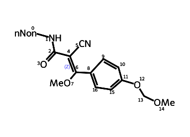 CCCCCCCCCNC(=O)/C(C#N)=C(\OC)c1ccc(OCOC)cc1